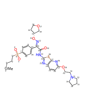 COCCCS(=O)(=O)c1ccc(/C(=N\O[C@@H]2CCOC2)C(=O)Nc2nc3ccc(OCCN4CCCC4)nc3s2)cc1